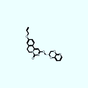 C=CCOc1ccc2c(c1)CCn1c-2cc(OC[C@@H]2COc3ncccc3O2)nc1=O